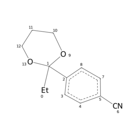 CCC1(c2ccc(C#N)cc2)OCCCO1